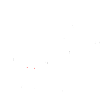 CC(C)(C)c1ccc(N(c2ccc3c(c2)N(c2ccccc2)c2cc(C(C)(C)C)cc4c2B3c2oc3c(c2N4c2ccccc2)CCCC3)c2ccc(C(C)(C)C)cc2-c2cccc3oc4ccccc4c23)cc1